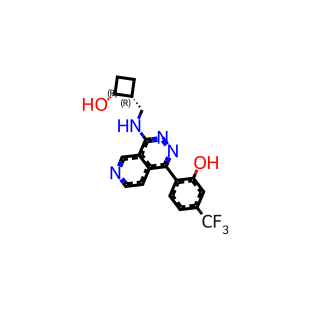 Oc1cc(C(F)(F)F)ccc1-c1nnc(NC[C@H]2CC[C@H]2O)c2cnccc12